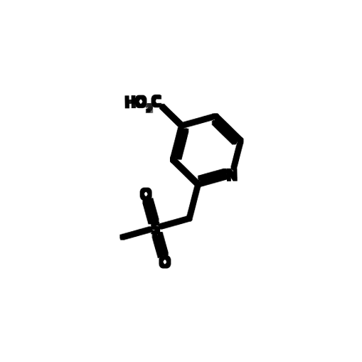 CS(=O)(=O)Cc1cc(C(=O)O)ccn1